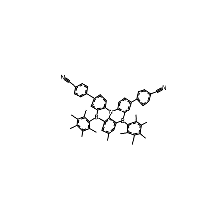 Cc1cc2c3c(c1)B(c1c(C)c(C)c(C)c(C)c1C)c1cc(-c4ccc(C#N)cc4)ccc1N3c1ccc(-c3ccc(C#N)cc3)cc1B2c1c(C)c(C)c(C)c(C)c1C